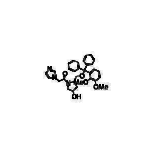 COc1cccc(C(OCC2CC(O)CN2C(=O)Cn2ccnc2)(c2ccccc2)c2ccccc2)c1OC